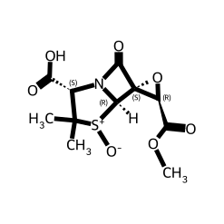 COC(=O)[C@@H]1O[C@]12C(=O)N1[C@@H](C(=O)O)C(C)(C)[S+]([O-])[C@@H]12